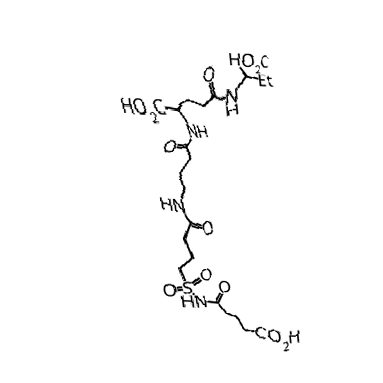 CCC(NC(=O)CCC(NC(=O)CCCNC(=O)CCCS(=O)(=O)NC(=O)CCCC(=O)O)C(=O)O)C(=O)O